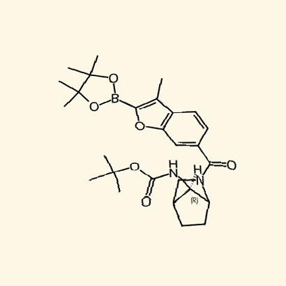 Cc1c(B2OC(C)(C)C(C)(C)O2)oc2cc(C(=O)N3CC4CCC3[C@@H]4NC(=O)OC(C)(C)C)ccc12